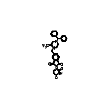 O=C1CCN(N2C(=O)c3ccc(CN4CCN(C(c5ccccc5)c5ccccc5)CC4C(F)(F)F)cc3C2=O)C(=O)N1